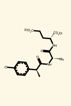 CCOC(=O)CC[C@@H](NC(=O)[C@@H](NC(=O)[C@@H](C)c1ccc(Cl)cc1)C(C)(C)C)C(=O)OCC